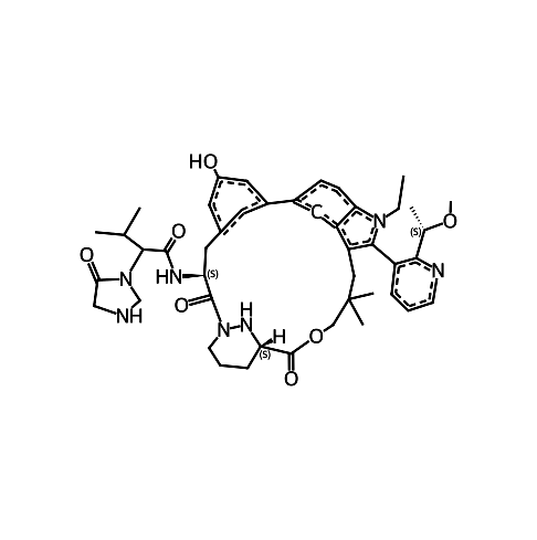 CCn1c(-c2cccnc2[C@H](C)OC)c2c3cc(ccc31)-c1cc(O)cc(c1)C[C@H](NC(=O)C(C(C)C)N1CNCC1=O)C(=O)N1CCC[C@H](N1)C(=O)OCC(C)(C)C2